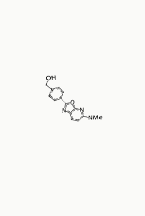 CNc1ccc2nc(-c3ccc(CO)cc3)oc2n1